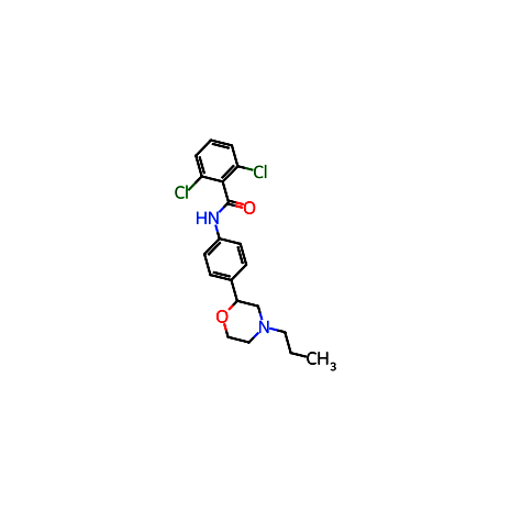 CCCN1CCOC(c2ccc(NC(=O)c3c(Cl)cccc3Cl)cc2)C1